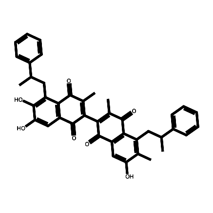 CC1=C(C2=C(C)C(=O)c3c(cc(O)c(O)c3CC(C)c3ccccc3)C2=O)C(=O)c2cc(O)c(C)c(CC(C)c3ccccc3)c2C1=O